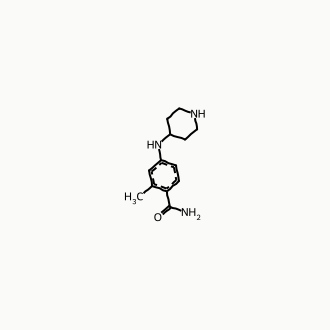 Cc1cc(NC2CCNCC2)ccc1C(N)=O